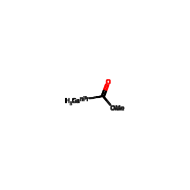 CCCC(=O)OC.[GaH3]